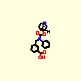 O=C(O)c1cccc(CN(C(=O)O[C@H]2CN3CCC2CC3)c2ccccc2)c1